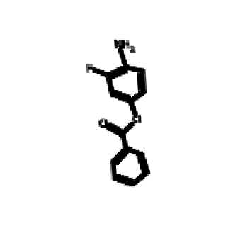 Nc1ccc(OC(=O)c2ccccc2)cc1F